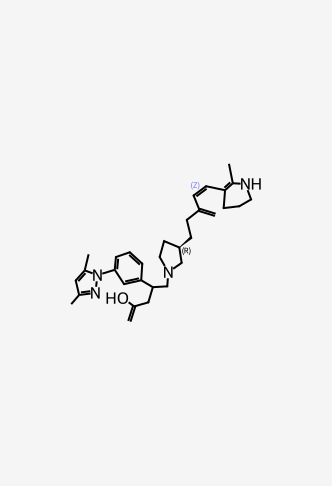 C=C(O)CC(CN1CC[C@@H](CCC(=C)/C=C\C2=C(C)NCCC2)C1)c1cccc(-n2nc(C)cc2C)c1